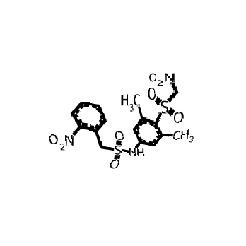 Cc1cc(NS(=O)(=O)Cc2ccccc2[N+](=O)[O-])cc(C)c1S(=O)(=O)C[N+](=O)[O-]